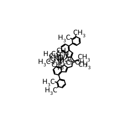 Cc1cccc(-c2cccc3c2C=C(CC(C)C)[CH]3[Zr]([Cl])([Cl])([BH]N([Si](C)(C)C)[Si](C)(C)C)[CH]2C(CC(C)C)=Cc3c(-c4cccc(C)c4C)cccc32)c1C